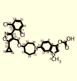 Cn1cc(OC(=O)O)c2ccc(N3CCCC(OCc4c(-c5c(Cl)cccc5Cl)noc4C4CC4)CC3)cc21